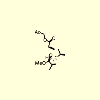 C=C(C)C(=O)O.C=C(C)C(=O)OC.C=CC(=O)OCC(C)=O